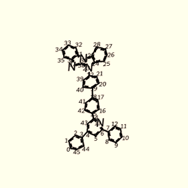 c1ccc(-c2cc(-c3ccccc3)nc(-c3ccc(-c4ccc(-n5c6ccccc6n6c7ccccc7nc56)cc4)cc3)c2)cc1